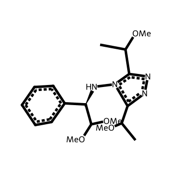 COC(C)c1nnc(C(C)OC)n1N[C@H](c1ccccc1)C(OC)OC